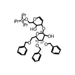 CC(C)[Si](OCC1OC=CC(O[C@@H]2OC(COCc3ccccc3)[C@@H](OCc3ccccc3)[C@@H](OCc3ccccc3)C2O)C1O)(C(C)C)C(C)C